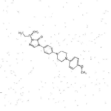 CC[C@@H](C)n1ncn(-c2ccc(N3CCN(c4ccc(OC)cc4)CC3)cc2)c1=O